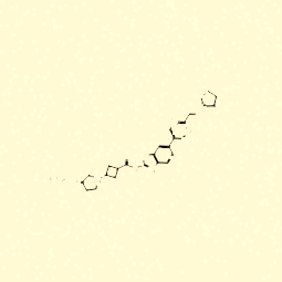 CO[C@@H]1CCN(C2CC(C(=O)Nc3nc4ccc(-c5cnc(CO[C@H]6CCC[C@@H]6O)nc5)cc4s3)C2)C1